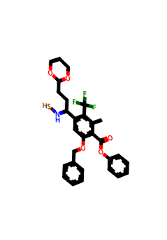 Cc1c(C(=O)Oc2ccccc2)c(OCc2ccccc2)cc(C(CCC2OCCCO2)NS)c1C(F)(F)F